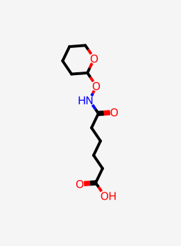 O=C(O)CCCCC(=O)NOC1CCCCO1